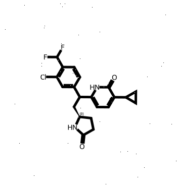 O=C1CC[C@H](CC(c2ccc(C(F)F)c(Cl)c2)c2ccc(C3CC3)c(=O)[nH]2)N1